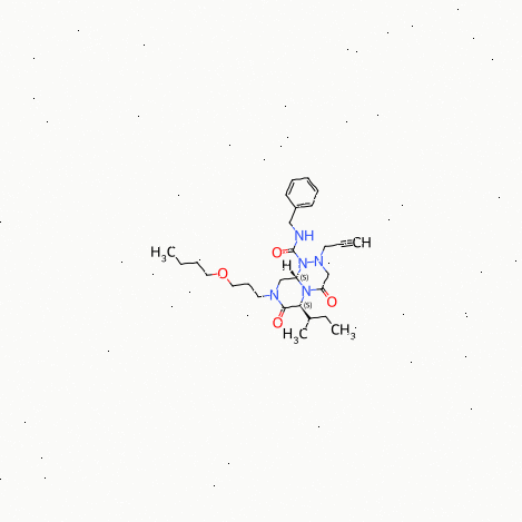 C#CCN1CC(=O)N2[C@@H](C(C)CC)C(=O)N(CCCOCCCC)C[C@@H]2N1C(=O)NCc1ccccc1